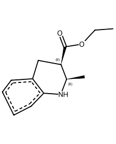 CCOC(=O)[C@@H]1Cc2ccccc2N[C@@H]1C